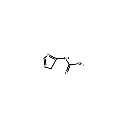 NC(=O)NC1=NC=NC1